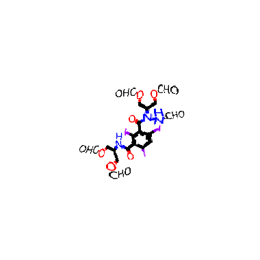 O=CNN(C(=O)c1c(I)cc(I)c(C(=O)NC(COC=O)COC=O)c1I)C(COC=O)COC=O